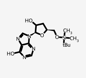 CC(C)(C)[Si](C)(C)OC[C@@H]1CC(O)[C@H](n2cnc3c(O)ncnc32)O1